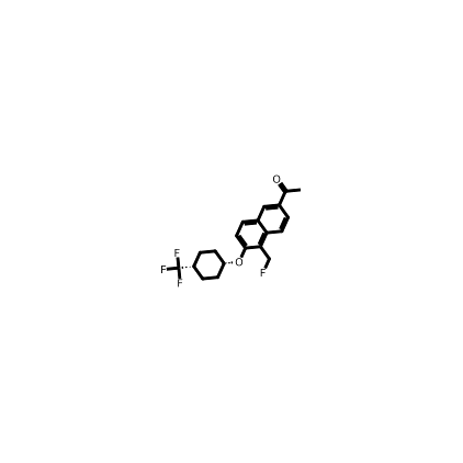 CC(=O)c1ccc2c(CF)c(O[C@H]3CC[C@@H](C(F)(F)F)CC3)ccc2c1